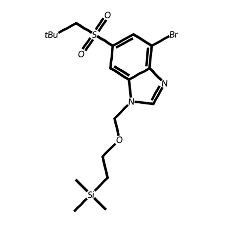 CC(C)(C)CS(=O)(=O)c1cc(Br)c2ncn(COCC[Si](C)(C)C)c2c1